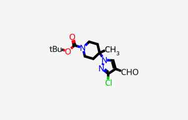 CC(C)(C)OC(=O)N1CCC(C)(n2cc(C=O)c(Cl)n2)CC1